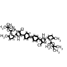 C[C@H]1CC[C@@H](c2nc(Cl)c(-c3ccc(-c4ccc(-c5[nH]c([C@@H]6CC[C@H](C)N6C(=O)OC(C)(C)C)nc5Cl)cc4)cc3)[nH]2)N1C(=O)OC(C)(C)C